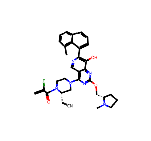 C=C(F)C(=O)N1CCN(c2nc(OC[C@@H]3CCCN3C)nc3c(O)c(-c4cccc5cccc(C)c45)ncc23)C[C@@H]1CC#N